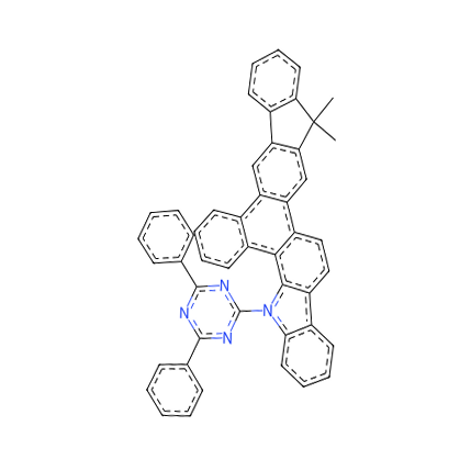 CC1(C)c2ccccc2-c2cc3c4ccccc4c4c(ccc5c6ccccc6n(-c6nc(-c7ccccc7)nc(-c7ccccc7)n6)c54)c3cc21